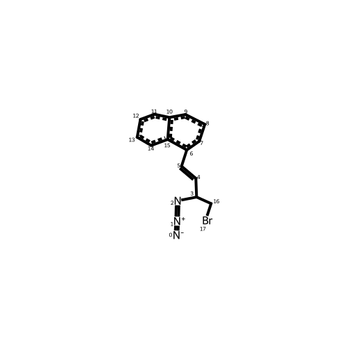 [N-]=[N+]=NC(C=Cc1cccc2ccccc12)CBr